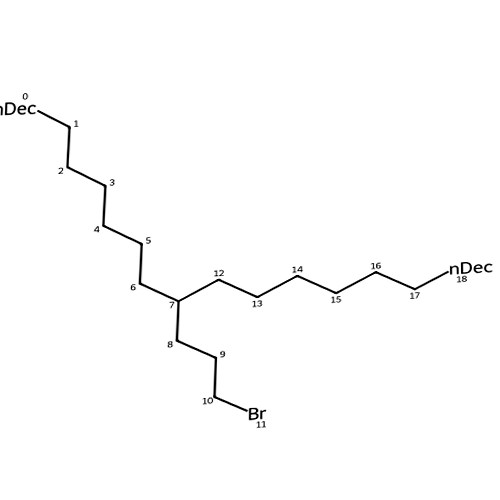 CCCCCCCCCCCCCCCCC(CCCBr)CCCCCCCCCCCCCCCC